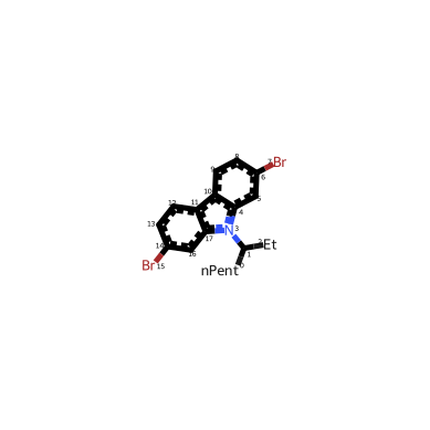 CCCCCC(CC)n1c2cc(Br)ccc2c2ccc(Br)cc21